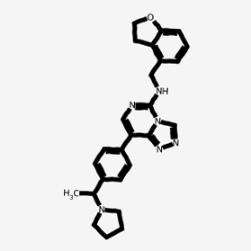 CC(c1ccc(-c2cnc(NCc3cccc4c3CCO4)n3cnnc23)cc1)N1CCCC1